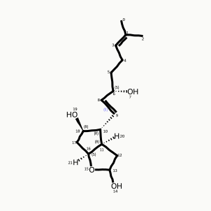 CC(C)=CCC[C@H](O)/C=C/[C@@H]1[C@H]2CC(O)O[C@H]2C[C@H]1O